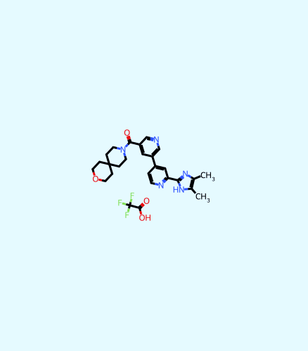 Cc1nc(-c2cc(-c3cncc(C(=O)N4CCC5(CCOCC5)CC4)c3)ccn2)[nH]c1C.O=C(O)C(F)(F)F